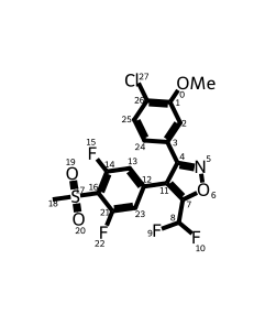 COc1cc(-c2noc(C(F)F)c2-c2cc(F)c(S(C)(=O)=O)c(F)c2)ccc1Cl